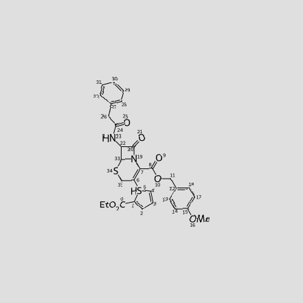 CCOC(=O)C1=CC=C[SH]1C1=C(C(=O)OCc2ccc(OC)cc2)N2C(=O)C(NC(=O)Cc3ccccc3)C2SC1